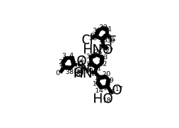 Cc1cccc(S(=O)(=O)N2NC(c3ccc(C(=O)O)cc3)c3ccc(NC(=O)c4c(F)cccc4Cl)cc32)c1